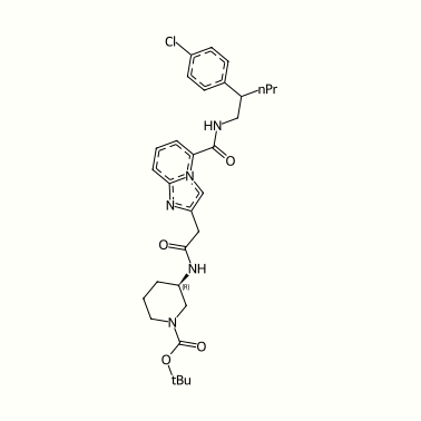 CCCC(CNC(=O)c1cccc2nc(CC(=O)N[C@@H]3CCCN(C(=O)OC(C)(C)C)C3)cn12)c1ccc(Cl)cc1